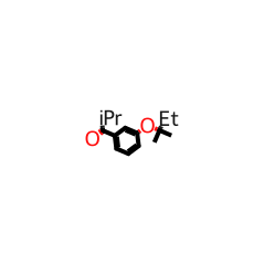 CCC(C)(C)Oc1cccc(C(=O)C(C)C)c1